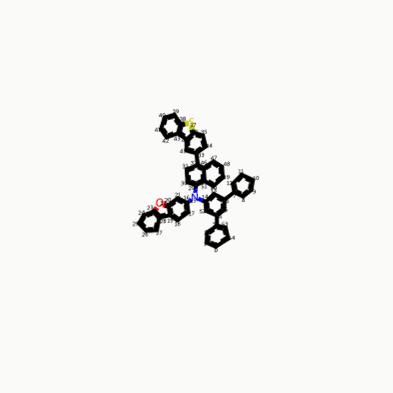 c1ccc(-c2cc(-c3ccccc3)cc(N(c3ccc4c(c3)oc3ccccc34)c3ccc(-c4ccc5sc6ccccc6c5c4)c4ccccc34)c2)cc1